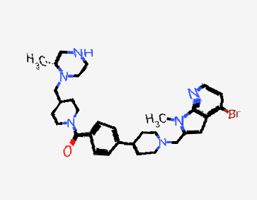 C[C@@H]1CNCCN1CC1CCN(C(=O)c2ccc(C3CCN(Cc4cc5c(Br)ccnc5n4C)CC3)cc2)CC1